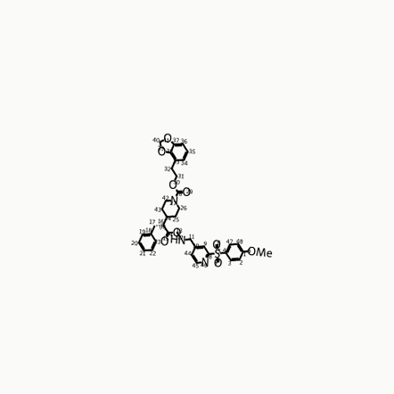 COc1ccc(S(=O)(=O)c2cc(CNOC(=O)[C@H](Cc3ccccc3)C3CCN(C(=O)OCCc4cccc5c4OCO5)CC3)ccn2)cc1